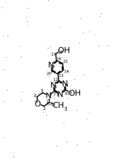 C[C@H]1COCCN1c1nc(O)nc(-c2ccc(CO)nc2)n1